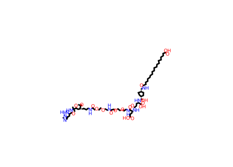 CC(=O)[C@H](CCCCNC(=O)COCCOCCNC(=O)COCCOCCNC(=O)[C@H](CCC(=O)O)NC(=O)CCC(NC(O)[C@H]1CC[C@H](CNC(=O)CCCCCCCCCCCCCCCCCCC(=O)O)CC1)C(=O)O)CC(=O)C(C)(C)NC(=O)C(N)Cc1cnc[nH]1